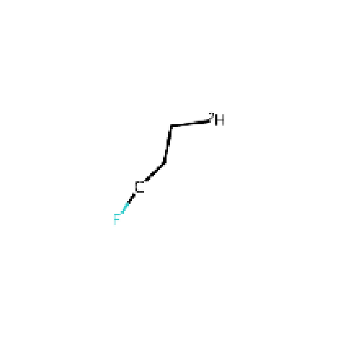 [2H]CCCF